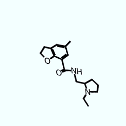 CCN1CCCC1CNC(=O)c1cc(C)cc2c1OCC2